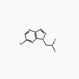 CCc1cnc2cnn(CC(F)F)c2n1